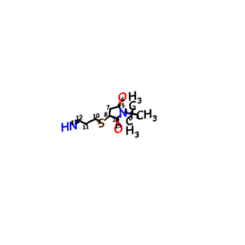 CC(C)(C)N1C(=O)CC(SCCC=N)C1=O